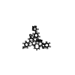 CCCCCn1c(N2CCCN(CCC(CN(C)C(=O)c3cc(C4C=NN=N4)ccc3OC)c3ccc(F)cc3)CC2)nc2ccccc21